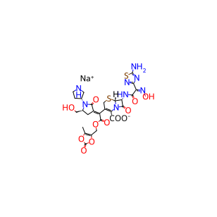 Cc1oc(=O)oc1COC(=O)/C(C1=C(C(=O)[O-])N2C(=O)[C@@H](NC(=O)/C(=N\O)c3nsc(N)n3)[C@H]2SC1)=C1\C[C@@H](CO)N([C@@H]2CCNC2)C1=O.[Na+]